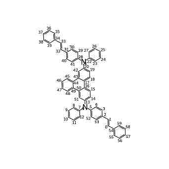 C(=C\c1ccc(N(c2ccccc2)c2ccc3c4ccc(N(c5ccccc5)c5ccc(/C=C/c6ccccc6)cc5)cc4c4ccccc4c3c2)cc1)/c1ccccc1